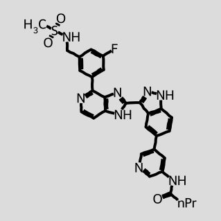 CCCC(=O)Nc1cncc(-c2ccc3[nH]nc(-c4nc5c(-c6cc(F)cc(CNS(C)(=O)=O)c6)nccc5[nH]4)c3c2)c1